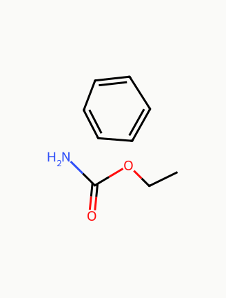 CCOC(N)=O.c1ccccc1